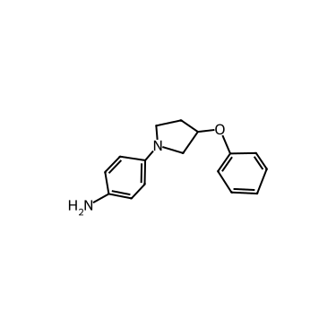 Nc1ccc(N2CCC(Oc3ccccc3)C2)cc1